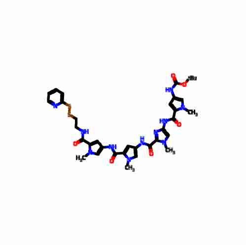 Cn1cc(NC(=O)c2cc(NC(=O)c3nc(NC(=O)c4cc(NC(=O)OC(C)(C)C)cn4C)cn3C)cn2C)cc1C(=O)NCCSSc1ccccn1